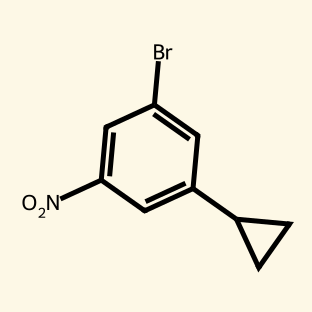 O=[N+]([O-])c1cc(Br)cc(C2CC2)c1